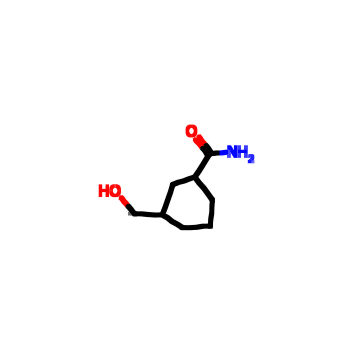 NC(=O)C1CCCC([CH]O)C1